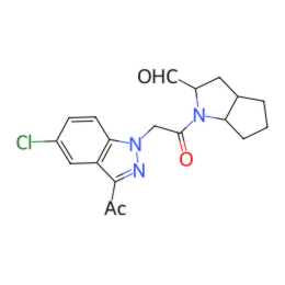 CC(=O)c1nn(CC(=O)N2C(C=O)CC3CCCC32)c2ccc(Cl)cc12